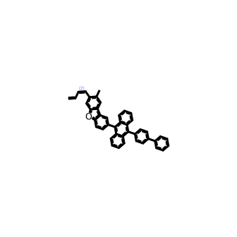 C=C/C=C\c1cc2oc3ccc(-c4c5ccccc5c(-c5ccc(-c6ccccc6)cc5)c5ccccc45)cc3c2cc1C